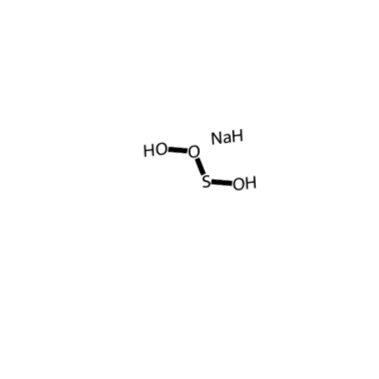 OOSO.[NaH]